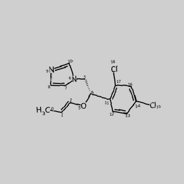 CC=CO[C@H](Cn1ccnc1)c1ccc(Cl)cc1Cl